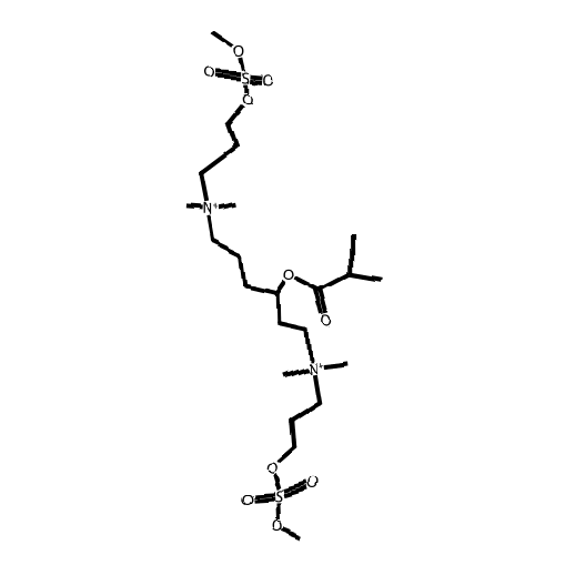 COS(=O)(=O)OCCC[N+](C)(C)CCCC(CC[N+](C)(C)CCCOS(=O)(=O)OC)OC(=O)C(C)C